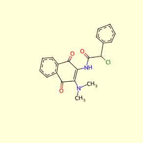 CN(C)C1=C(NC(=O)C(Cl)c2ccccc2)C(=O)c2ccccc2C1=O